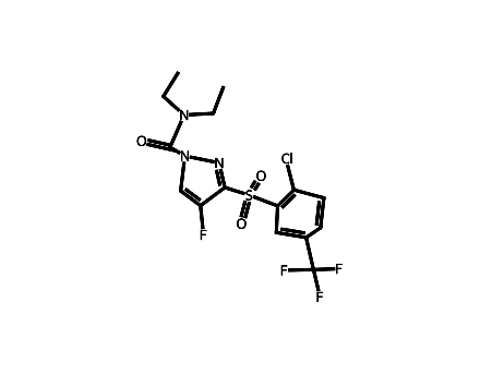 CCN(CC)C(=O)n1cc(F)c(S(=O)(=O)c2cc(C(F)(F)F)ccc2Cl)n1